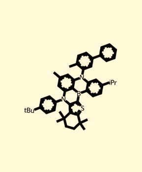 Cc1cc2c3c(c1)N(c1ccc(C(C)(C)C)cc1)c1c(sc4c1C(C)(C)CCC4(C)C)B3c1ccc(C(C)C)cc1N2c1cc(-c2ccccc2)ccc1C